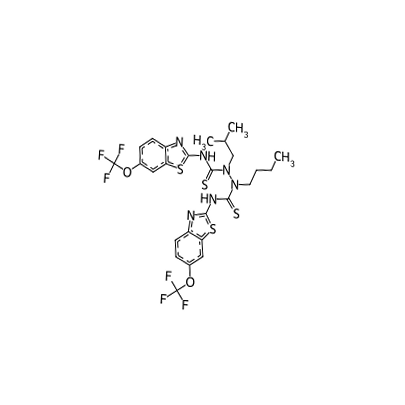 CCCCN(C(=S)Nc1nc2ccc(OC(F)(F)F)cc2s1)N(CC(C)C)C(=S)Nc1nc2ccc(OC(F)(F)F)cc2s1